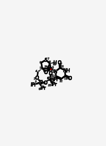 CC(C)[Si]1(C(C)C)OC[C@@]23CS[C@@H]([C@H](n4ccc(=O)[nH]c4=O)O2)[C@@H]3O[Si](C(C)C)(C(C)C)O1